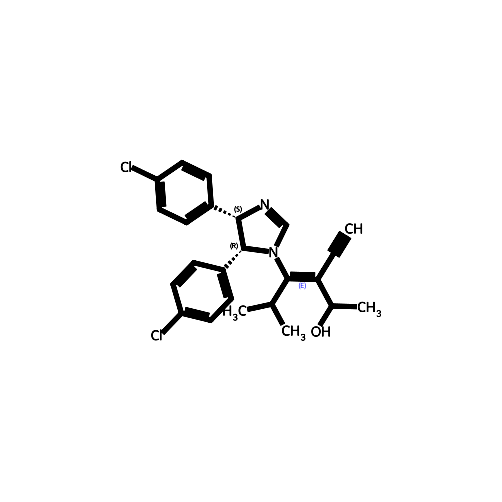 C#C/C(=C(/C(C)C)N1C=N[C@@H](c2ccc(Cl)cc2)[C@H]1c1ccc(Cl)cc1)C(C)O